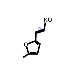 Cc1ccc(/C=C/N=O)o1